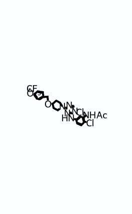 CC(=O)Nc1c(Cl)ccc(Nc2ncnc(N3CCC(OCc4ccc(OC(F)(F)F)cc4)CC3)n2)c1Cl